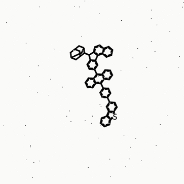 c1ccc2c3c(ccc2c1)C(C1C2CC4CC(C2)CC1C4)c1ccc(-c2c4ccccc4c(-c4ccc(-c5ccc6sc7ccccc7c6c5)cc4)c4ccccc24)cc1-3